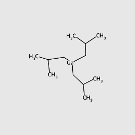 CC(C)[CH2][Ga]([CH2]C(C)C)[CH2]C(C)C